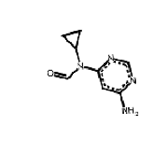 Nc1cc(N(C=O)C2CC2)ncn1